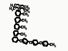 CCOCC.CCOCC.Cc1ccccc1.Cc1ccccc1.Cc1ccccc1.Cc1ccccc1.Cc1ccccc1.Cc1ccccc1.Cc1ccccc1.Cc1ccccc1